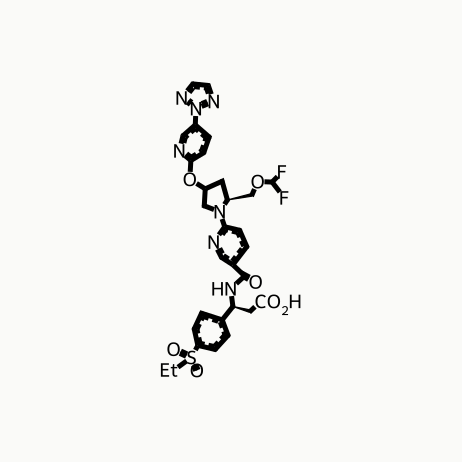 CCS(=O)(=O)c1ccc([C@H](CC(=O)O)NC(=O)c2ccc(N3CC(Oc4ccc(-n5nccn5)cn4)C[C@H]3COC(F)F)nc2)cc1